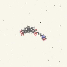 C[C@]12CC[C@H](OC(=O)CCCCCN3CCOCC3)C[C@H]1CC[C@@H]1[C@@H]2CC[C@]2(C)[C@@H](C3=CC(=O)OC3)CC[C@@H]12